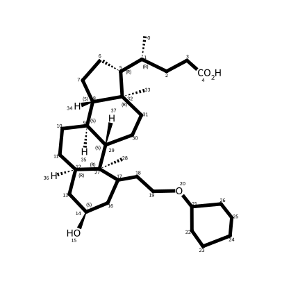 C[C@H](CCC(=O)O)[C@H]1CC[C@H]2[C@@H]3CC[C@@H]4C[C@H](O)CC(CCOC5CCCCC5)[C@]4(C)[C@H]3CC[C@]12C